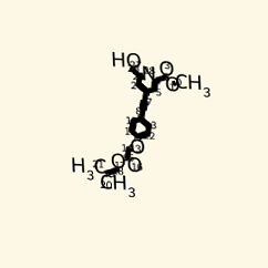 COC(=O)c1cc(C#Cc2ccc(OCC(=O)OCC(C)C)cc2)cc(CO)n1